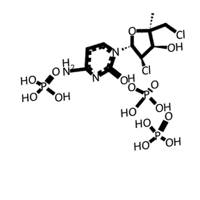 C[C@@]1(CCl)O[C@@H](n2ccc(N)nc2=O)[C@H](Cl)[C@@H]1O.O=P(O)(O)O.O=P(O)(O)O.O=P(O)(O)O